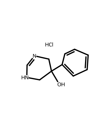 Cl.OC1(c2ccccc2)CN=CNC1